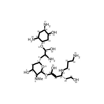 CNC1C(O)C[C@H](CC(N)[C@H](O)O[C@H]2CC(O)[C@H](N)CC2N)OC1O/C(O)=C/[C@@H](CCO)NCCCN